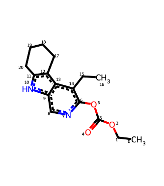 CCOC(=O)Oc1ncc2[nH]c3c(c2c1CC)CCCC3